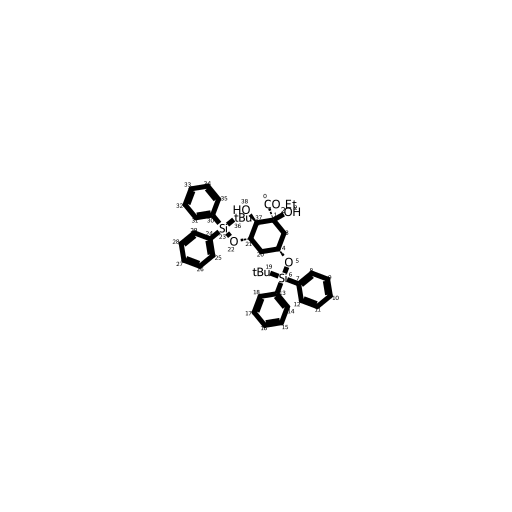 CCOC(=O)[C@]1(O)C[C@H](O[Si](c2ccccc2)(c2ccccc2)C(C)(C)C)C[C@H](O[Si](c2ccccc2)(c2ccccc2)C(C)(C)C)[C@H]1O